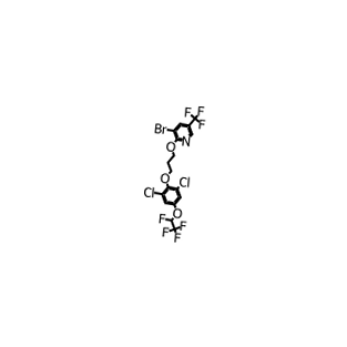 FC(Oc1cc(Cl)c(OCCCOc2ncc(C(F)(F)F)cc2Br)c(Cl)c1)C(F)(F)F